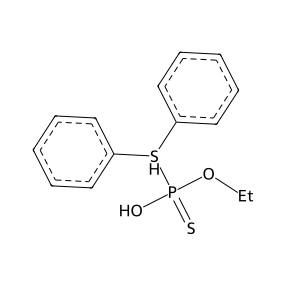 CCOP(O)(=S)[SH](c1ccccc1)c1ccccc1